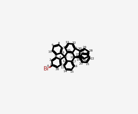 Brc1ccc(C2(c3ccccc3)c3ccccc3C3(c4ccccc4)c4ccccc4-c4cccc2c43)cc1